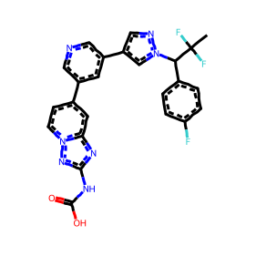 CC(F)(F)C(c1ccc(F)cc1)n1cc(-c2cncc(-c3ccn4nc(NC(=O)O)nc4c3)c2)cn1